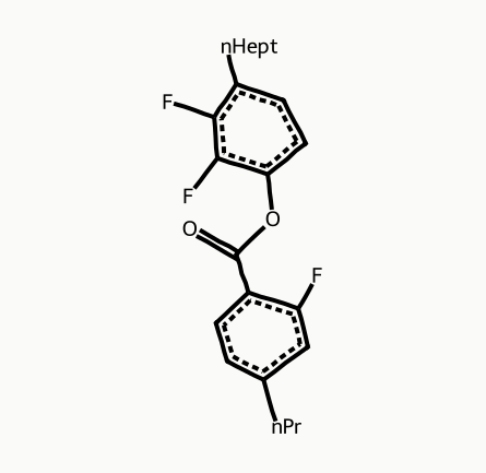 CCCCCCCc1ccc(OC(=O)c2ccc(CCC)cc2F)c(F)c1F